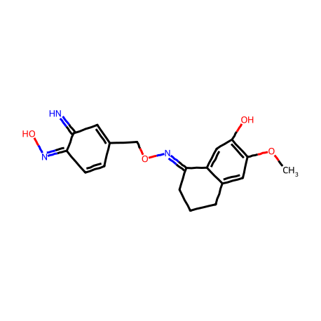 COc1cc2c(cc1O)/C(=N/OCC1=CC(=N)/C(=N\O)C=C1)CCC2